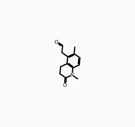 Cc1ccc2c(c1CC=O)CCC(=O)N2C